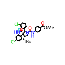 COC(=O)c1ccc(NC(=O)N2C[C@@H](CC(C)(C)C)[C@@]3(C(=O)Nc4cc(Cl)ccc43)[C@H]2c2cccc(Cl)c2F)cc1